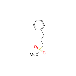 COS(=O)(=O)CCCc1ccccc1